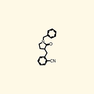 N#Cc1ccccc1CC1CCN(Cc2ccccc2)C1=O